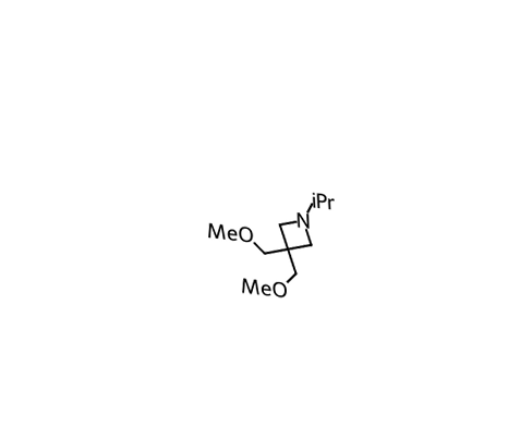 COCC1(COC)CN(C(C)C)C1